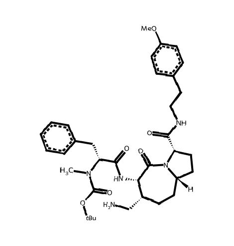 COc1ccc(CCNC(=O)[C@@H]2CC[C@@H]3CC[C@H](CN)[C@H](NC(=O)[C@@H](Cc4ccccc4)N(C)C(=O)OC(C)(C)C)C(=O)N32)cc1